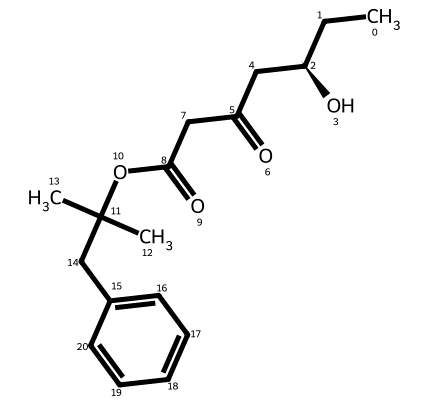 CC[C@@H](O)CC(=O)CC(=O)OC(C)(C)Cc1ccccc1